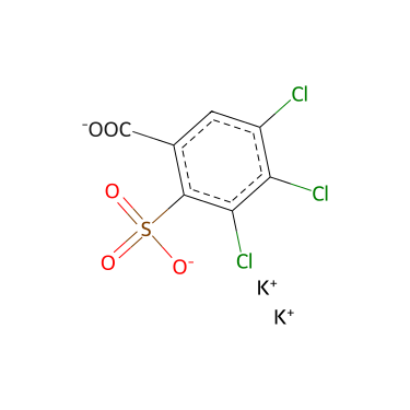 O=C([O-])c1cc(Cl)c(Cl)c(Cl)c1S(=O)(=O)[O-].[K+].[K+]